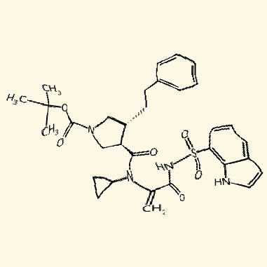 C=C(C(=O)NS(=O)(=O)c1cccc2cc[nH]c12)N(C(=O)[C@H]1CN(C(=O)OC(C)(C)C)C[C@@H]1CCc1ccccc1)C1CC1